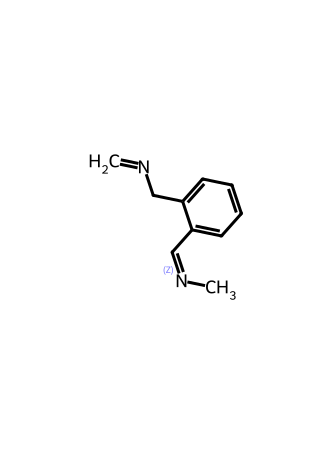 C=NCc1ccccc1/C=N\C